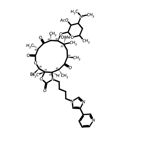 CC[C@H]1OC(=O)[C@H](C)C(=O)[C@H](C)[C@@H](OC2OC(C)CC(N(C)C)C2OC(C)=O)[C@](C)(OC)C[C@@H](C)C(=O)[C@H](C)[C@H]2N(CCCCn3cnc(-c4cccnc4)c3)C(=O)O[C@]12C